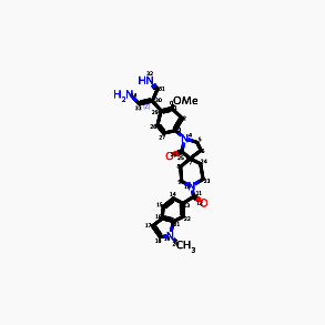 COc1cc(N2CCC3(CCN(C(=O)c4ccc5ccn(C)c5c4)CC3)C2=O)ccc1/C(C=N)=C/N